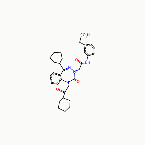 O=C(O)Cc1cccc(NC(=O)CN2N=C(C3CCCCC3)c3ccccc3N(CC(=O)C3CCCCC3)C2=O)c1